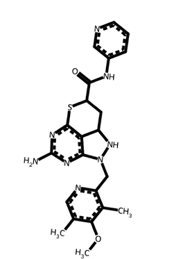 COc1c(C)cnc(CN2NC3CC(C(=O)Nc4cccnc4)Sc4nc(N)nc2c43)c1C